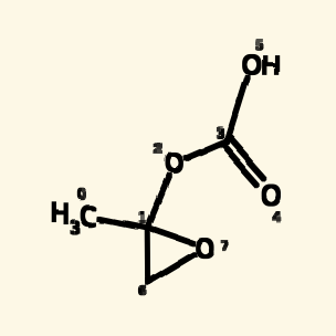 CC1(OC(=O)O)CO1